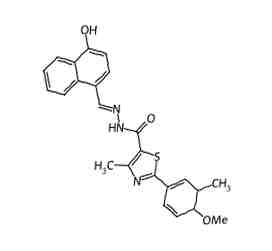 COC1C=CC(c2nc(C)c(C(=O)N/N=C/c3ccc(O)c4ccccc34)s2)=CC1C